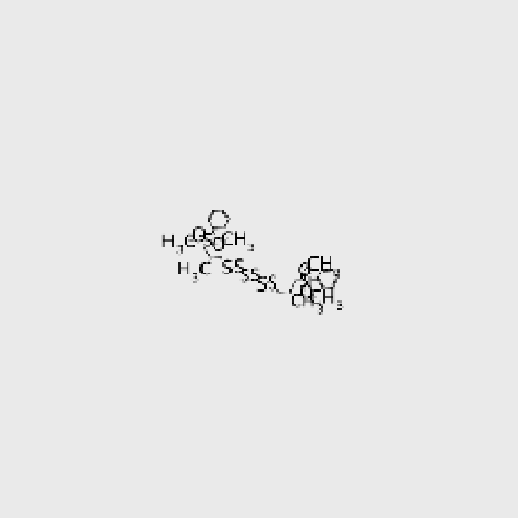 CO[Si](CC(C)CSSSSSSCC(C)C[Si](OC)(OC)c1ccccc1)(OC)c1ccccc1